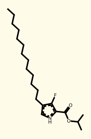 CCCCCCCCCCCCCc1c[nH]c(C(=O)OC(C)C)c1F